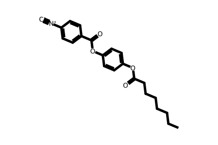 [C-]#[N+]c1ccc(C(=O)Oc2ccc(OC(=O)CCCCCCC)cc2)cc1